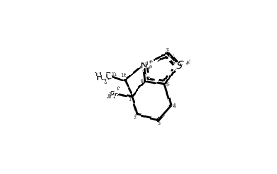 CC(C)C12CCCc3sc[n+](c31)C2C